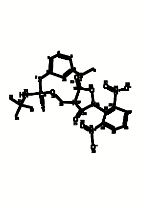 CSc1cccc(SP(=S)(NC(C)(C)C)OCn2c(=O)on(-c3c([N+](=O)[O-])cccc3[N+](=O)[O-])c2=O)c1